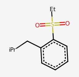 CCS(=O)(=O)c1ccccc1CC(C)C